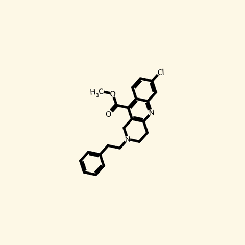 COC(=O)c1c2c(nc3cc(Cl)ccc13)CCN(CCc1ccccc1)C2